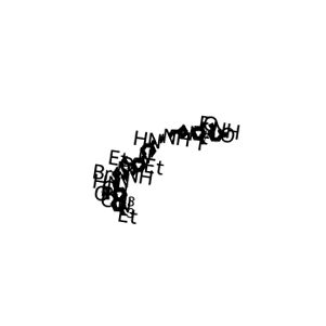 CCOc1cc(N2CCC(NCCNCC3CN(c4cc(F)c([C@H]5CCC(=O)NC5=O)c(F)c4)C3)CC2)c(CC)cc1Nc1ncc(Br)c(Nc2ccc3nc(CC)ccc3c2P(C)(C)=O)n1